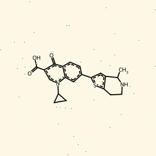 CC1NCCc2sc(-c3ccc4c(=O)c(C(=O)O)cn(C5CC5)c4c3)cc21